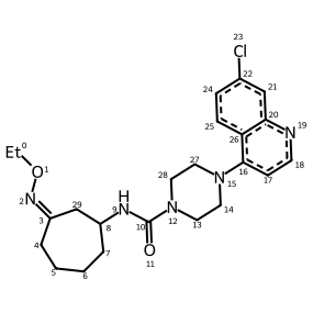 CCON=C1CCCCC(NC(=O)N2CCN(c3ccnc4cc(Cl)ccc34)CC2)C1